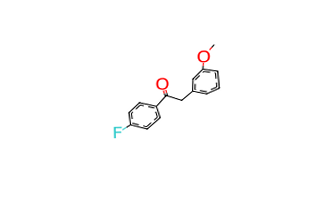 COc1cccc(CC(=O)c2ccc(F)cc2)c1